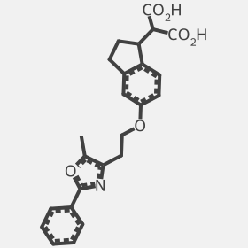 Cc1oc(-c2ccccc2)nc1CCOc1ccc2c(c1)CCC2C(C(=O)O)C(=O)O